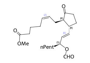 CCCCC[C@@H](/C=C/[C@H]1CCC(=O)[C@@H]1C/C=C\CCCC(=O)OC)OC=O